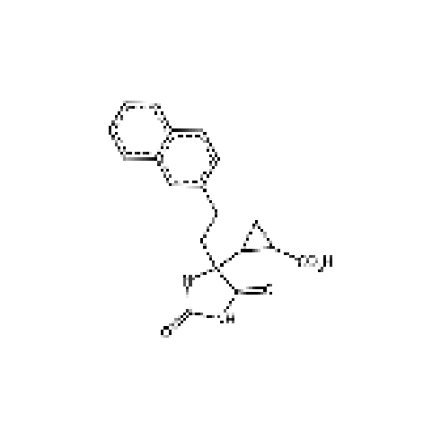 O=C1NC(=O)C(CCc2ccc3ccccc3c2)(C2CC2C(=O)O)N1